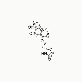 COc1cc2c(OCC[C@@H]3CCC(=O)N3)cncc2cc1C(N)=O